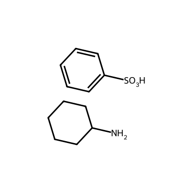 NC1CCCCC1.O=S(=O)(O)c1ccccc1